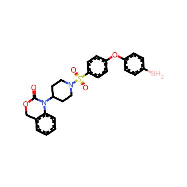 Bc1ccc(Oc2ccc(S(=O)(=O)N3CCC(N4C(=O)OCc5ccccc54)CC3)cc2)cc1